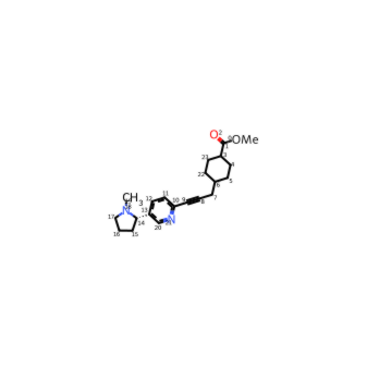 COC(=O)C1CCC(CC#Cc2ccc([C@@H]3CCCN3C)cn2)CC1